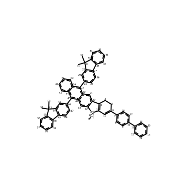 C[SiH]1C2=C(CCC(c3ccc(-c4ccccc4)cc3)=C2)c2cc3c(-c4ccc5c(c4)C(C)(C)c4ccccc4-5)c4ccccc4c(-c4ccc5c(c4)C(C)(C)c4ccccc4-5)c3cc21